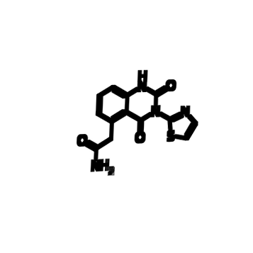 NC(=O)Cc1cccc2[nH]c(=O)n(-c3nccs3)c(=O)c12